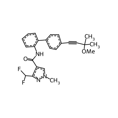 COC(C)(C)C#Cc1ccc(-c2ccccc2NC(=O)c2cn(C)nc2C(F)F)cc1